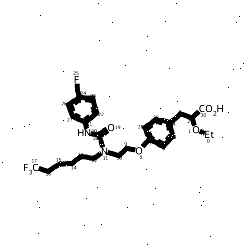 CCOC(Cc1ccc(OCCN(CCCCCC(F)(F)F)C(=O)Nc2ccc(F)cc2)cc1)C(=O)O